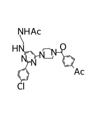 CC(=O)NCCNc1cc(N2CCN(C(=O)c3ccc(C(C)=O)cc3)CC2)nc(-c2ccc(Cl)cc2)n1